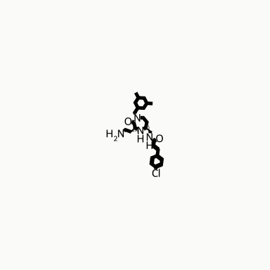 CC1CC(C)CC(CN2CC[C@@H](CNC(=O)C=Cc3ccc(Cl)cc3)N[C@@H](CCN)C2=O)C1